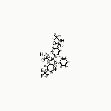 CC(C)(C)NS(=O)(=O)c1ccc(-c2c(C(N)=O)c3cc(C(F)(F)F)cnc3n2-c2ccccc2)nc1